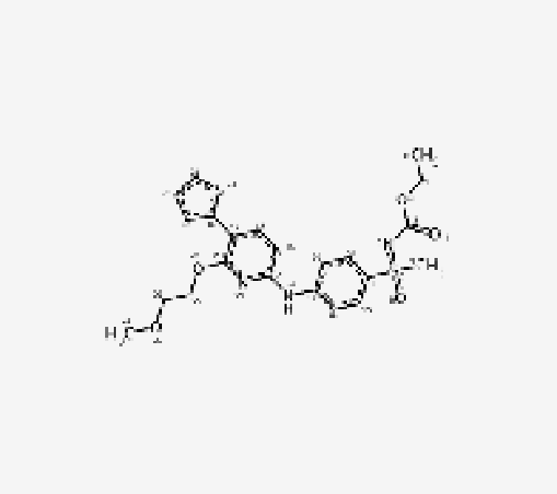 CCOC(=O)N=S(C)(=O)c1ccc(Nc2ncc(-c3cccs3)c(OCCOC)n2)cc1